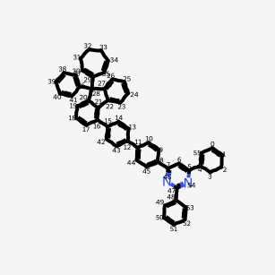 C1=CCCC(c2cc(-c3ccc(-c4ccc(-c5cccc6c5-c5ccccc5C6(C5=CCCCC=C5)c5ccccc5)cc4)cc3)nc(-c3ccccc3)n2)=C1